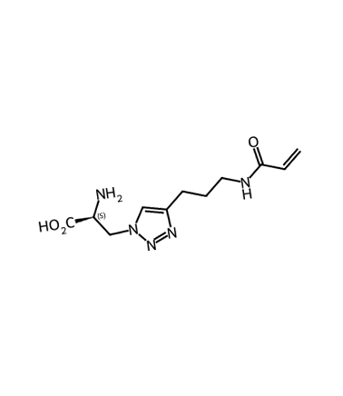 C=CC(=O)NCCCc1cn(C[C@H](N)C(=O)O)nn1